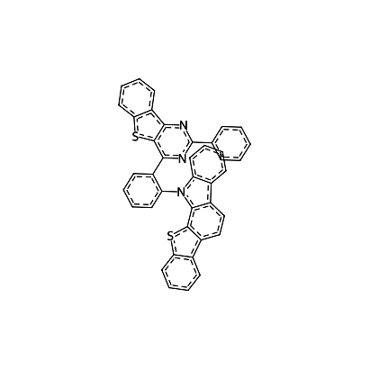 c1ccc(-c2nc(-c3ccccc3-n3c4ccccc4c4ccc5c6ccccc6sc5c43)c3sc4ccccc4c3n2)cc1